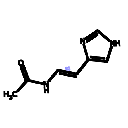 CC(=O)N/C=C/c1c[nH]cn1